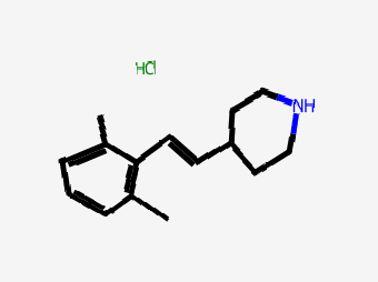 Cc1cccc(C)c1/C=C/C1CCNCC1.Cl